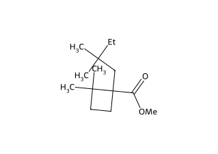 CCC(C)(C)CC1(C(=O)OC)CCC1(C)C